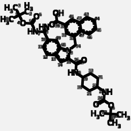 CC(C)(C)OC(=O)NC(=N)c1ccc2cc(C(=O)NC3CCC(NC(=O)OC(C)(C)C)CC3)n(Cc3cc(C(=O)O)cc4ccccc34)c2c1